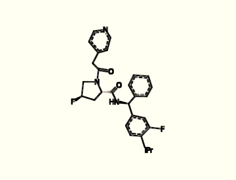 CC(C)c1ccc([C@@H](NC(=O)[C@@H]2C[C@@H](F)CN2C(=O)Cc2ccncc2)c2ccccc2)cc1F